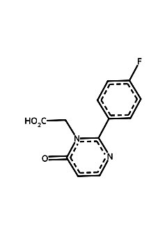 O=C(O)Cn1c(-c2ccc(F)cc2)nccc1=O